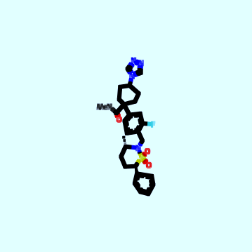 CNC(=O)C1(c2ccc(CN3[C@@H](C)CC[C@H](c4ccccc4)S3(=O)=O)c(F)c2)CCC(n2cnnc2)CC1